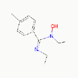 CCN=C(c1ccc(C)cc1)N(O)CC